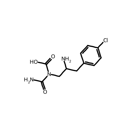 NC(=O)N(CC(N)Cc1ccc(Cl)cc1)C(=O)O